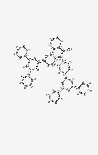 O=c1c2ccccc2c2cc(-c3cc(-c4ccccc4)nc(-c4ccccc4)c3)cc3c4cc(-c5cc(-c6ccccc6)cc(-c6ccccc6)c5)ccc4n1c23